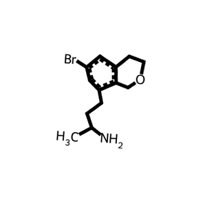 CC(N)CCc1cc(Br)cc2c1COCC2